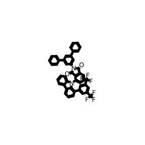 O=C1c2cccc(-n3c4ccccc4c4cccc(-c5cc(C(F)(F)F)cc(C(F)(F)F)c5)c43)c2C(=O)N1c1cc(-c2ccccc2)cc(-c2ccccc2)c1